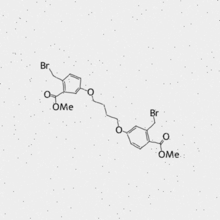 COC(=O)c1ccc(OCCCCOc2ccc(CBr)c(C(=O)OC)c2)cc1CBr